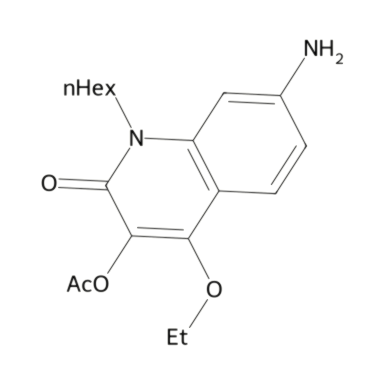 CCCCCCn1c(=O)c(OC(C)=O)c(OCC)c2ccc(N)cc21